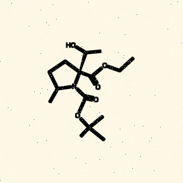 CCOC(=O)[C@@]1(C(C)O)CCC(C)N1C(=O)OC(C)(C)C